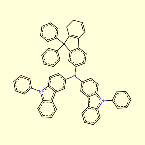 C1=CC2=C(CC1)C(c1ccccc1)(c1ccccc1)c1cc(N(c3ccc4c(c3)c3ccccc3n4-c3ccccc3)c3ccc4c(c3)c3ccccc3n4-c3ccccc3)ccc12